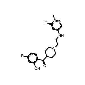 Cn1ncc(NCCN2CCC(C(=O)c3ccc(F)cc3O)CC2)cc1=O